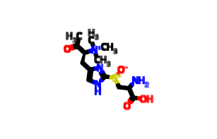 CC(=O)[C@H](Cc1c[nH]c([S+]([O-])CC(N)C(=O)O)n1)[N+](C)(C)C